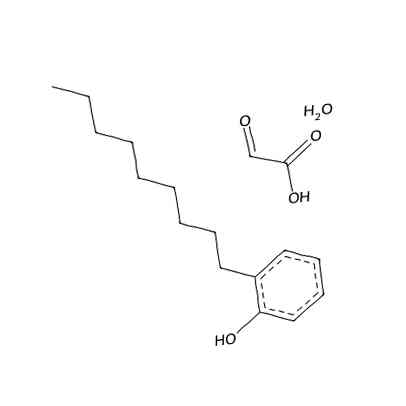 CCCCCCCCCc1ccccc1O.O.O=CC(=O)O